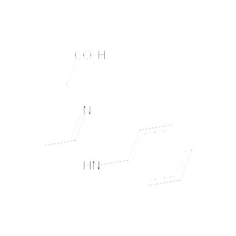 CC(=NCC(=O)O)Nc1ccccc1